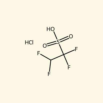 Cl.O=S(=O)(O)C(F)(F)C(F)F